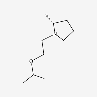 CC(C)OCCN1CCC[C@H]1C